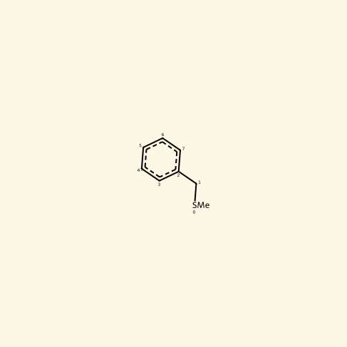 CSCc1c[c]ccc1